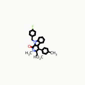 Cc1ccc(-c2c(CC(=O)O)n(C)c(=O)c3c2c2ccccc2n3Cc2ccc(F)cc2)cc1